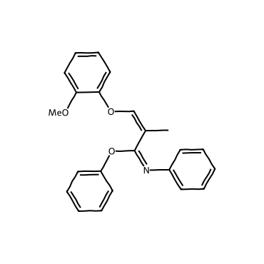 COc1ccccc1OC=C(C)/C(=N\c1ccccc1)Oc1ccccc1